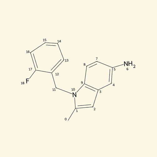 Cc1cc2cc(N)ccc2n1Cc1ccccc1F